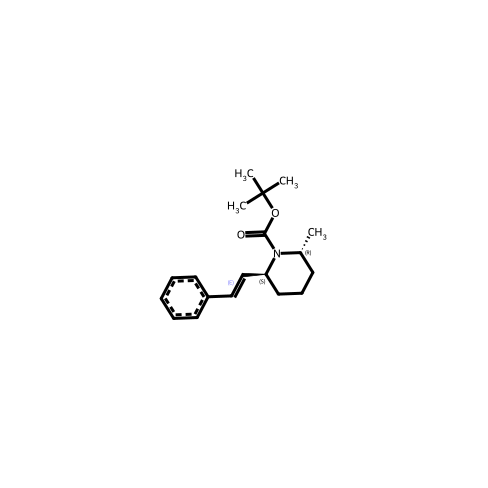 C[C@@H]1CCC[C@@H](/C=C/c2ccccc2)N1C(=O)OC(C)(C)C